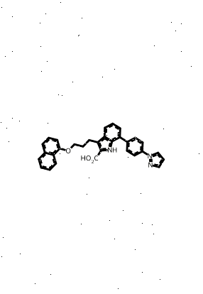 O=C(O)c1[nH]c2c(-c3ccc(-n4cccn4)cc3)cccc2c1CCCOc1cccc2ccccc12